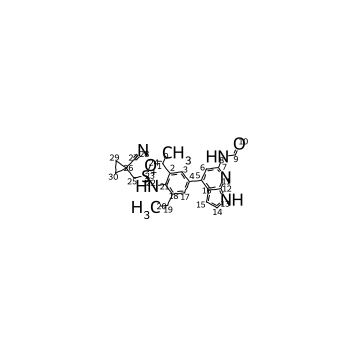 CCc1cc(-c2cc(NC=O)nc3[nH]ccc23)cc(CC)c1N[S+]([O-])CC1(C#N)CC1